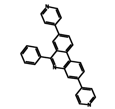 c1ccc(-c2nc3cc(-c4ccncc4)ccc3c3ccc(-c4ccncc4)cc23)cc1